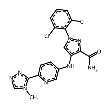 Cn1cnnc1-c1ccc(Nc2cn(-c3c(Cl)cccc3Cl)nc2C(N)=O)cn1